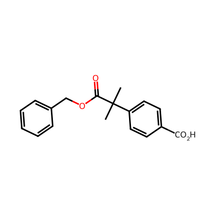 CC(C)(C(=O)OCc1ccccc1)c1ccc(C(=O)O)cc1